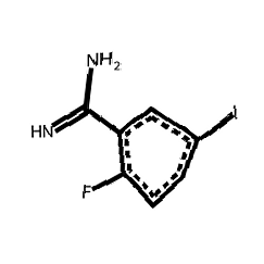 N=C(N)c1cc(I)ccc1F